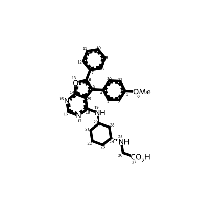 COc1ccc(-c2c(-c3ccccc3)oc3ncnc(N[C@@H]4CCC[C@@H](NCC(=O)O)C4)c23)cc1